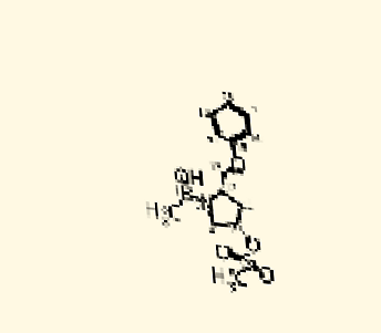 CB(O)N1C[C@@H](OS(C)(=O)=O)C[C@@H]1COc1ccccc1